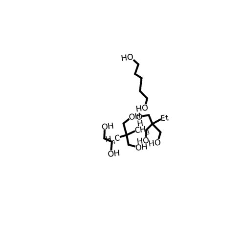 CC(C)(CO)CO.CCC(CO)(CO)CO.OCCCCCO.OCCO